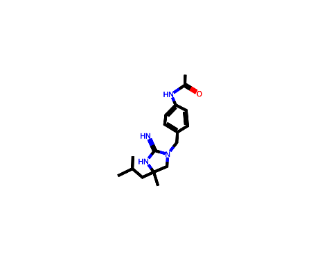 CC(=O)Nc1ccc(CN2CC(C)(CC(C)C)NC2=N)cc1